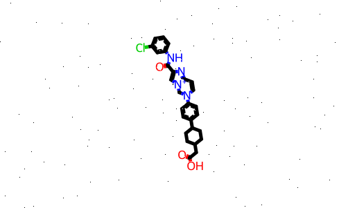 O=C(O)CC1CCC(c2ccc(N3C=CC4=NC(C(=O)Nc5cccc(Cl)c5)=C[N+]4C3)cc2)CC1